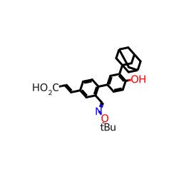 CC(C)(C)ON=Cc1cc(C=CC(=O)O)ccc1-c1ccc(O)c(C23CC4CC(CC(C4)C2)C3)c1